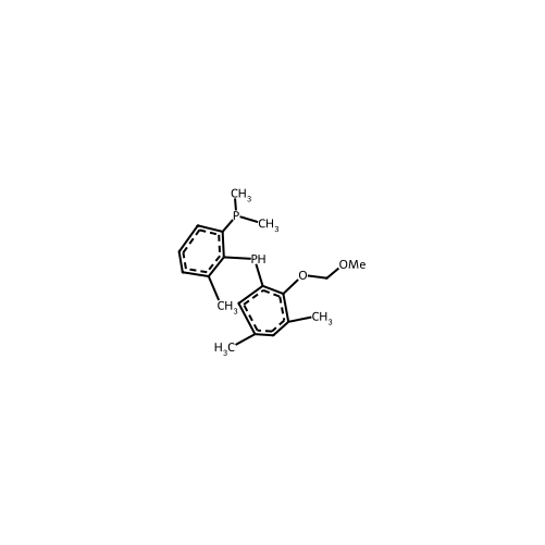 COCOc1c(C)cc(C)cc1Pc1c(C)cccc1P(C)C